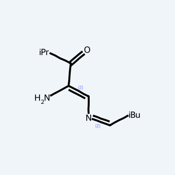 CCC(C)/C=N\C=C(/N)C(=O)C(C)C